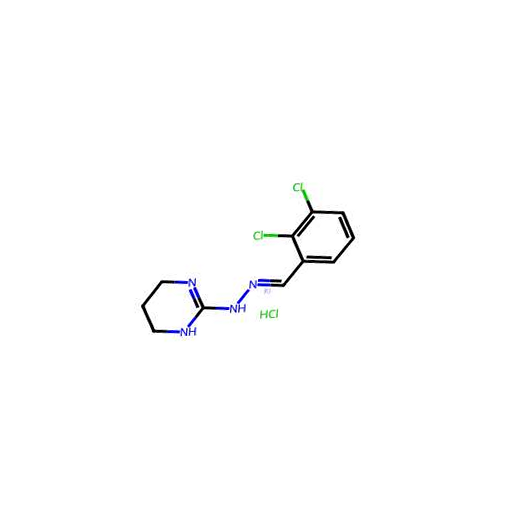 Cl.Clc1cccc(/C=N/NC2=NCCCN2)c1Cl